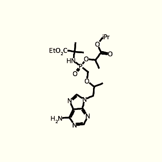 CCOC(=O)C(C)(C)NP(=O)(COC(C)Cn1cnc2c(N)ncnc21)OC(C)C(=O)OC(C)C